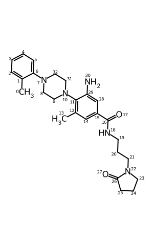 Cc1ccccc1N1CCN(c2c(C)cc(C(=O)NCCCN3CCCC3=O)cc2N)CC1